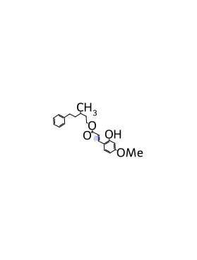 COc1ccc(/C=C/C(=O)OCCC(C)CCc2ccccc2)c(O)c1